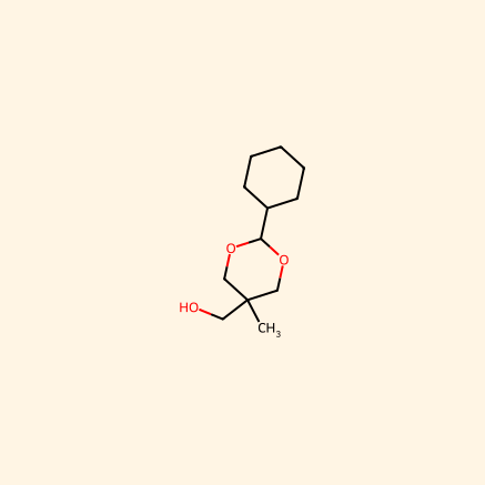 CC1(CO)COC(C2CCCCC2)OC1